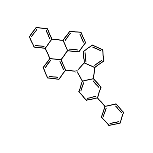 c1ccc(-c2ccc3c(c2)c2ccccc2n3-c2cccc3c4ccccc4c4ccccc4c23)cc1